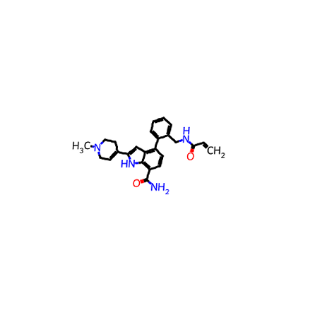 C=CC(=O)NCc1ccccc1-c1ccc(C(N)=O)c2[nH]c(C3=CCN(C)CC3)cc12